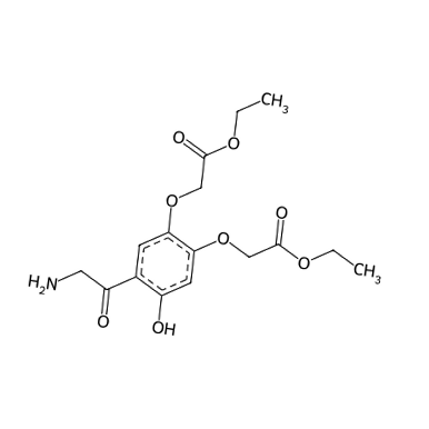 CCOC(=O)COc1cc(O)c(C(=O)CN)cc1OCC(=O)OCC